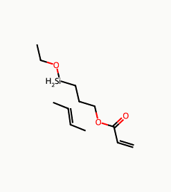 C=CC(=O)OCCC[SiH2]OCC.CC=CC